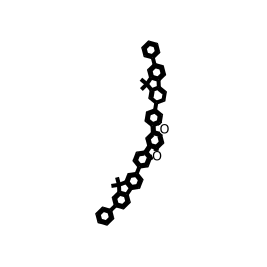 CC1(C)C2=CC(c3ccc4c(c3)oc3cc5oc6cc(-c7ccc8c(c7)C(C)(C)c7cc(-c9ccccc9)ccc7-8)ccc6c5cc34)CC=C2c2ccc(-c3ccccc3)cc21